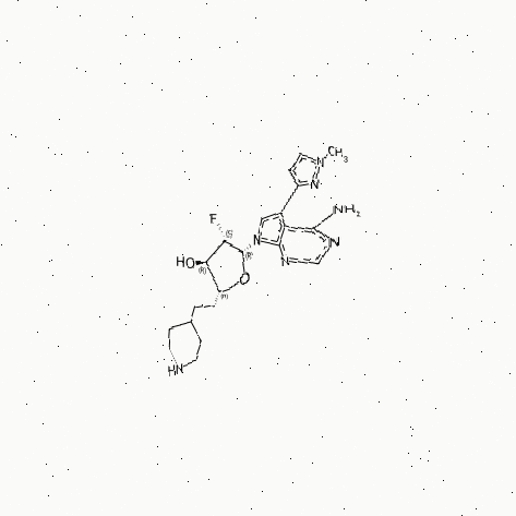 Cn1ccc(-c2cn([C@@H]3O[C@H](CCC4CCNCC4)[C@@H](O)[C@@H]3F)c3ncnc(N)c23)n1